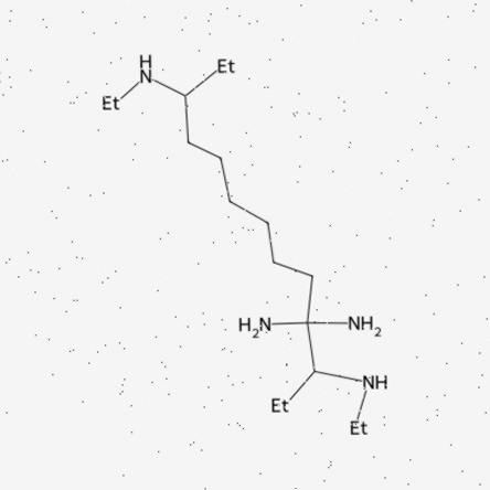 CCNC(CC)CCCCCCC(N)(N)C(CC)NCC